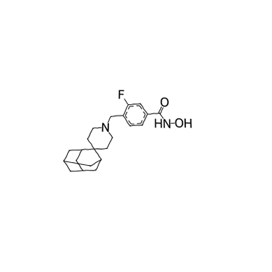 O=C(NO)c1ccc(CN2CCC3(CC2)C2CC4CC(C2)CC3C4)c(F)c1